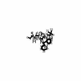 CCC(=S)N[C@@H](C)C(=O)NC1N=C(c2ccccn2)c2ccccc2N(CC(=O)C(C)(C)C)C1=O